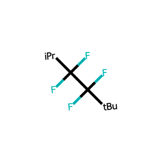 CC(C)C(F)(F)C(F)(F)C(C)(C)C